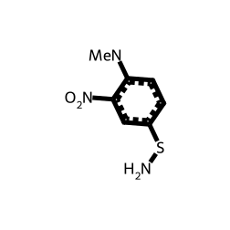 CNc1ccc(SN)cc1[N+](=O)[O-]